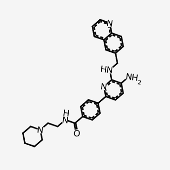 Nc1ccc(-c2ccc(C(=O)NCCN3CCCCC3)cc2)nc1NCc1ccc2ncccc2c1